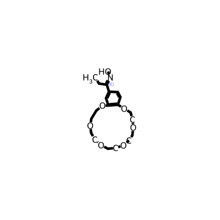 CC/C(=N\O)c1ccc2c(c1)OCCOCCOCCOCCOCCO2